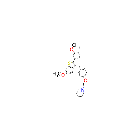 COc1cccc(-c2sc3cc(OC)ccc3c2Cc2ccc(OCCN3CCCCC3)cc2)c1